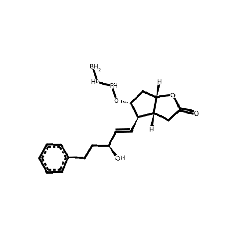 BPPO[C@@H]1C[C@@H]2OC(=O)C[C@@H]2[C@H]1/C=C/[C@@H](O)CCc1ccccc1